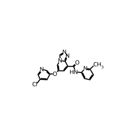 Cc1cccc(NC(=O)c2cc(Oc3cncc(Cl)c3)cn3cnnc23)n1